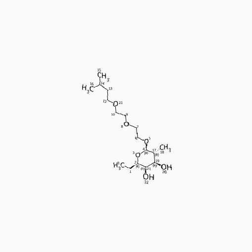 CC[C@H]1O[C@@H](OCCOCCOCCC(C)C)[C@H](C)[C@@H](O)[C@H]1O